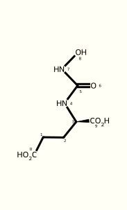 O=C(O)CC[C@@H](NC(=O)NO)C(=O)O